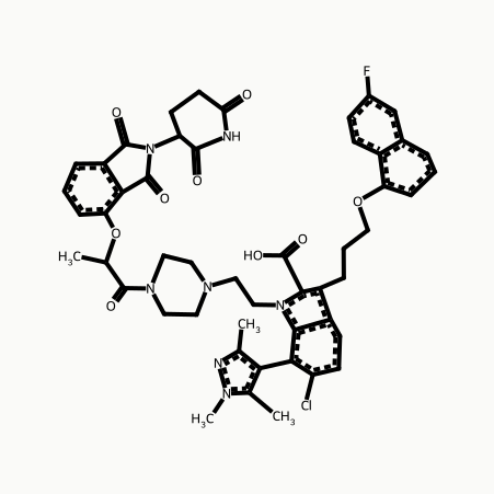 Cc1nn(C)c(C)c1-c1c(Cl)ccc2c(CCCOc3cccc4cc(F)ccc34)c(C(=O)O)n(CCN3CCN(C(=O)C(C)Oc4cccc5c4C(=O)N(C4CCC(=O)NC4=O)C5=O)CC3)c12